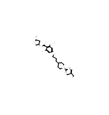 CCc1cnc(N2CCC(CCCOc3cc(C)c(C(=O)N[C@H]4CN[C@H](CO)C4)c(C)c3)CC2)nc1